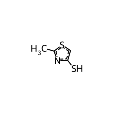 Cc1nc(S)cs1